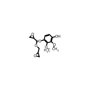 C(OCC1CO1)C1CO1.COc1c(O)ccc(O)c1OC